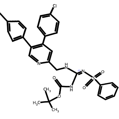 CC(C)(C)OC(=O)N/C(=N\S(=O)(=O)c1ccccc1)NCc1cc(-c2ccc(Cl)cc2)c(-c2ccc(Cl)cc2)cn1